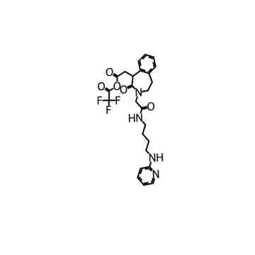 O=C(CN1CCc2ccccc2C(CC(=O)OC(=O)C(F)(F)F)C1=O)NCCCCNc1ccccn1